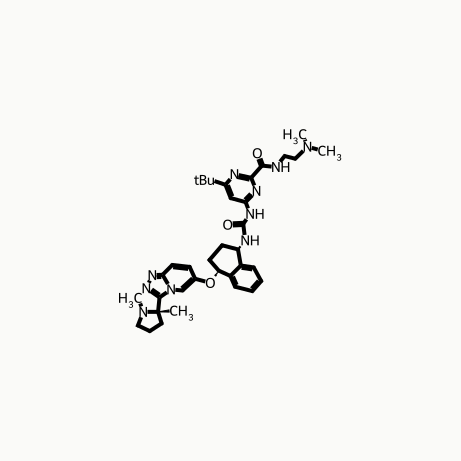 CN(C)CCNC(=O)c1nc(NC(=O)N[C@H]2CC[C@@H](Oc3ccc4nnc([C@]5(C)CCCN5C)n4c3)c3ccccc32)cc(C(C)(C)C)n1